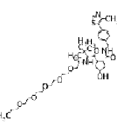 CCCOCCOCCOCCOCCOCC(=O)N[C@H](C(=O)C1C[C@H](O)C[C@H]1C(=O)NCc1ccc(-c2scnc2C)cc1)C(C)(C)C